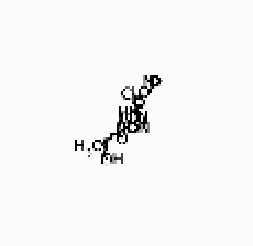 CN(C/C=C/C(=O)N1CCOc2c1ccc1ncnc(Nc3ccc(OCc4ccccn4)c(Cl)c3)c21)CCO